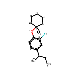 CC(C)(C)CC(c1ccc(OC2(C)CCCCC2)c(F)c1)C(C)(C)C